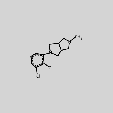 CN1CC2CN(c3cccc(Cl)c3Cl)CC2C1